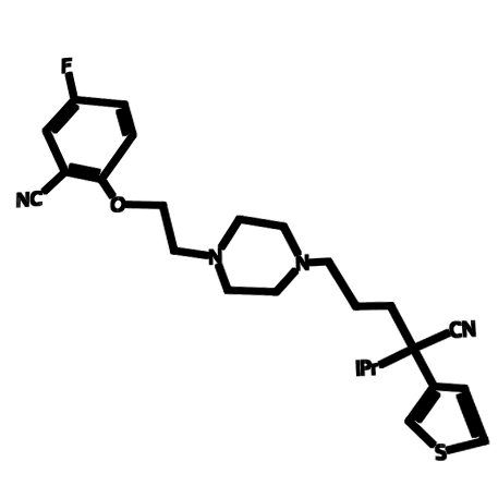 CC(C)C(C#N)(CCCN1CCN(CCOc2ccc(F)cc2C#N)CC1)c1ccsc1